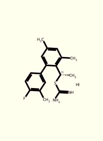 Cc1cc(C)c([C@H](C)SC(=N)N)c(-c2ccc(F)c(C)c2)c1.I